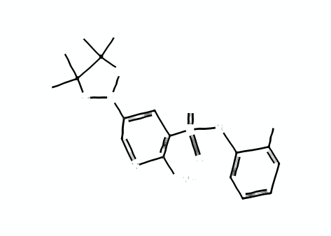 COc1ncc(B2OC(C)(C)C(C)(C)O2)cc1S(=O)(=O)Nc1ccccc1C